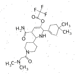 CN(C)CC(=O)N1CCC(C2NC(C3=CCC(C)(C)CC3)C(OC(=O)C(F)(F)F)=CC2C(N)=O)CC1